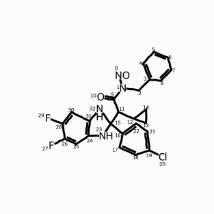 O=NN(Cc1ccccc1)C(=O)C(C1CC1)C1(c2ccc(Cl)cc2)Nc2cc(F)c(F)cc2N1